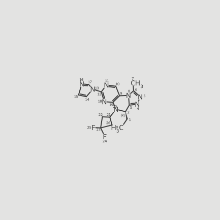 CC[C@@H]1c2nnc(C)n2-c2cnc(-n3ccnc3)nc2N1C1CC(F)(F)C1